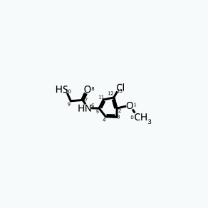 COc1ccc(NC(=O)CS)cc1Cl